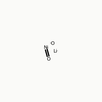 [Li].[O].[O]=[Ni]